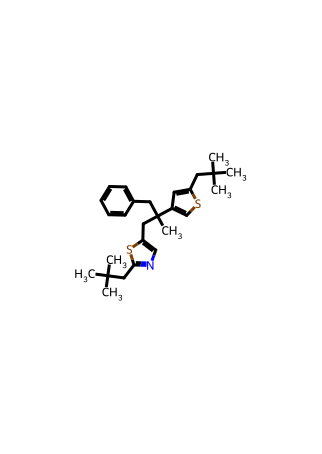 CC(C)(C)Cc1cc(C(C)(Cc2ccccc2)Cc2cnc(CC(C)(C)C)s2)cs1